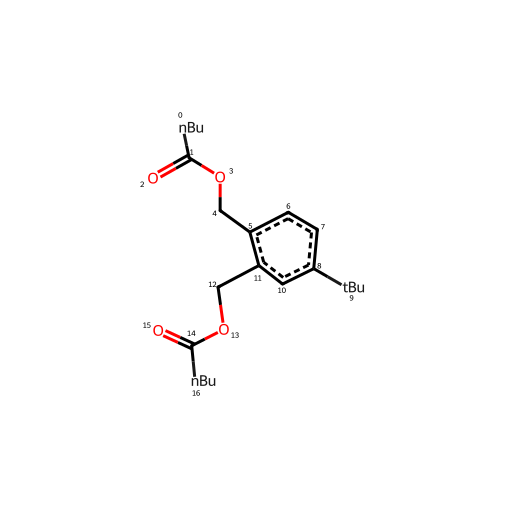 CCCCC(=O)OCc1ccc(C(C)(C)C)cc1COC(=O)CCCC